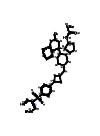 CCN1Cc2ccccc2C(C2CCN(CC3CN(c4ccc(S(=O)(=O)/C(C=N)=C/NC)cc4)C3)CC2)([C@H]2CCC[C@@H]2NC(=O)NC)C1